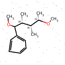 COC(c1ccccc1)[C@H](C)[C@@H](C)[C@H](C)OC